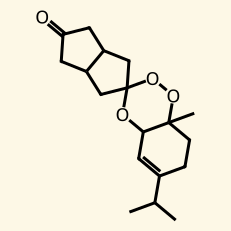 CC(C)C1=CC2OC3(CC4CC(=O)CC4C3)OOC2(C)CC1